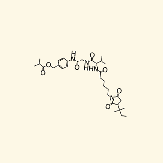 CCC(C)(C)C1CC(=O)N(CCCCCC(=O)N[C@H](C(=O)NCC(=O)Nc2ccc(COC(=O)C(C)C)cc2)C(C)C)C1=O